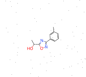 Cc1cccc(-c2noc(C(C)O)n2)c1